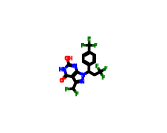 O=c1[nH]c(O)nc2c1c(C(F)F)nn2C(CC(F)(F)F)c1ccc(C(F)(F)F)cc1